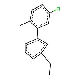 CCc1cccc(-c2cc(Cl)ccc2C)c1